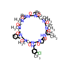 C=CC[C@@]1(C)NC(=O)[C@@H]2CCCN2C(=O)[C@H](CCc2ccc(C(F)(F)F)c(Cl)c2)NC(=O)CN(C)C(=O)[C@H](CC2CCCCC2)N(C)C(=O)CN(C)C(=O)CN(C)C(=O)[C@H]([C@@H](C)CC)NC(=O)[C@H](CC(C)C)N(C)C(=O)C[C@@H](C)N(C)C(=O)[C@H](C(C)C)N(C)C1=O